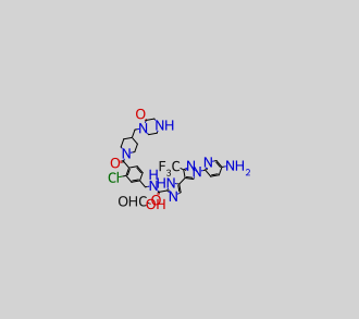 Nc1ccc(-n2cc(-c3cnc(C(=O)NCc4ccc(C(=O)N5CCC(CN6CCNCC6=O)CC5)c(Cl)c4)[nH]3)c(C(F)(F)F)n2)nc1.O=CO